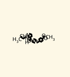 COC(=O)c1ccc(CN2CCN(C(=O)c3cccnc3NCCC(C)C)CC2)cc1